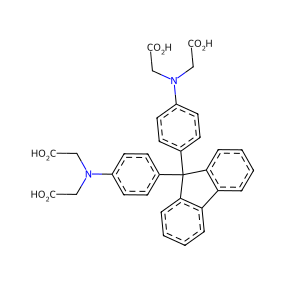 O=C(O)CN(CC(=O)O)c1ccc(C2(c3ccc(N(CC(=O)O)CC(=O)O)cc3)c3ccccc3-c3ccccc32)cc1